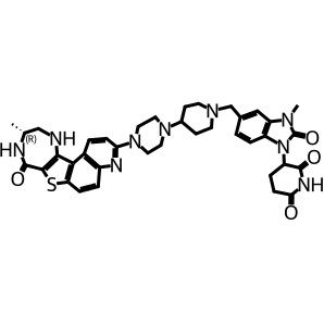 C[C@@H]1CNc2c(sc3ccc4nc(N5CCN(C6CCN(Cc7ccc8c(c7)n(C)c(=O)n8C7CCC(=O)NC7=O)CC6)CC5)ccc4c23)C(=O)N1